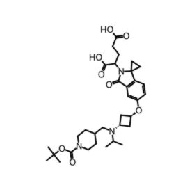 CC(C)N(CC1CCN(C(=O)OC(C)(C)C)CC1)[C@H]1C[C@H](Oc2ccc3c(c2)C(=O)N(C(CCC(=O)O)C(=O)O)C32CC2)C1